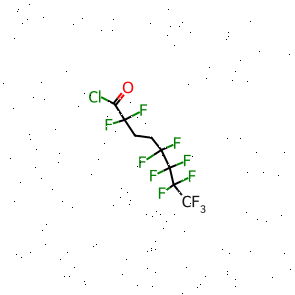 O=C(Cl)C(F)(F)CCC(F)(F)C(F)(F)C(F)(F)C(F)(F)F